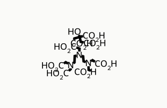 O=C(O)CC(O)(CC(=O)O)C(=O)O.O=C(O)CN(CCN(CC(=O)O)CC(=O)O)CCN(CC(=O)O)CC(=O)O